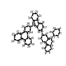 c1ccc(-c2cc3ccccc3c3ccc(-c4ccc5c6ccccc6n(-c6ccc7c8ccccc8c8ccccc8c7c6)c5c4)cc23)cc1